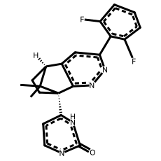 CC1(C)[C@H]2CC[C@]1(c1ccnc(=O)[nH]1)c1nnc(-c3c(F)cccc3F)cc12